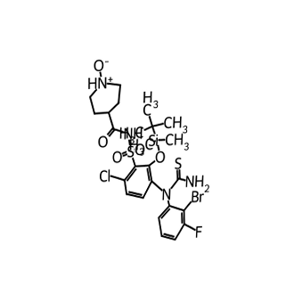 CC(C)(C)[Si](C)(C)Oc1c(N(C(N)=S)c2cccc(F)c2Br)ccc(Cl)c1S(=O)(=O)NC(=O)C1CC[NH+]([O-])CC1